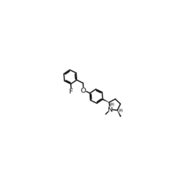 C[C@@H]1CC[C@H](c2ccc(OCc3ccccc3F)cc2)N1C